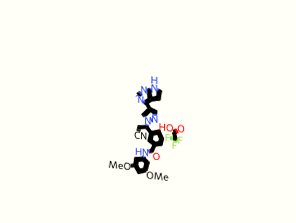 COc1cc(NC(=O)c2cccc(C(CC#N)n3cc(-c4ncnc5[nH]ccc45)cn3)c2)cc(OC)c1.O=C(O)C(F)(F)F